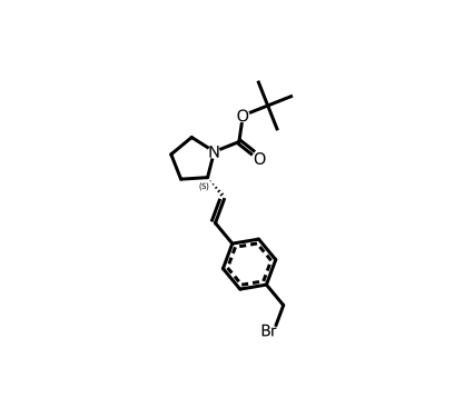 CC(C)(C)OC(=O)N1CCC[C@H]1C=Cc1ccc(CBr)cc1